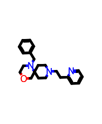 c1ccc(CN2CCOCC23CCN(CCc2ccccn2)CC3)cc1